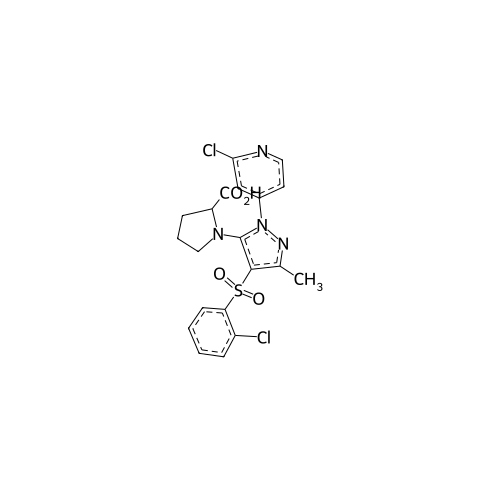 Cc1nn(-c2ccnc(Cl)c2)c(N2CCCC2C(=O)O)c1S(=O)(=O)c1ccccc1Cl